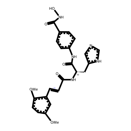 COc1ccc(OC)c(/C=C/C(=O)N[C@@H](Cc2cnc[nH]2)C(=O)Nc2ccc(C(=O)NO)cc2)c1